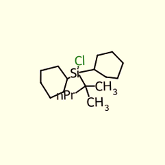 CCCC(C)(C)[Si](Cl)(C1CCCCC1)C1CCCCC1